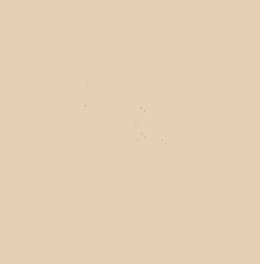 C=CCN/N=N/c1ccc(C)cc1